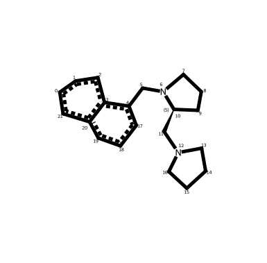 c1ccc2c(CN3CCC[C@H]3CN3CCCC3)cccc2c1